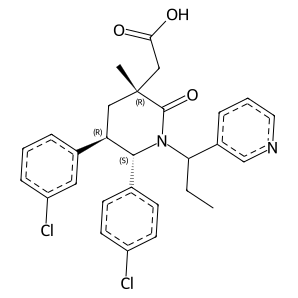 CCC(c1cccnc1)N1C(=O)[C@@](C)(CC(=O)O)C[C@H](c2cccc(Cl)c2)[C@H]1c1ccc(Cl)cc1